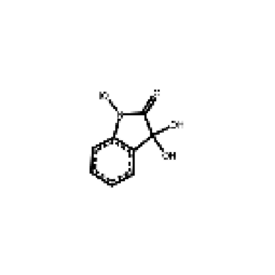 O=C1N(O)c2ccccc2C1(O)O